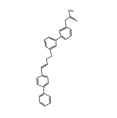 COC(=O)Cc1cccc(-c2cccc(OC/C=C/c3ccc(-c4ccccc4)cc3)c2)c1